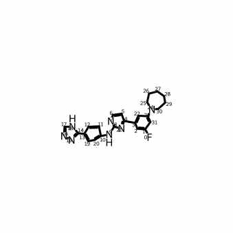 Fc1cc(-c2ccnc(Nc3ccc(-c4nnc[nH]4)cc3)n2)cc(N2CCCCCC2)c1